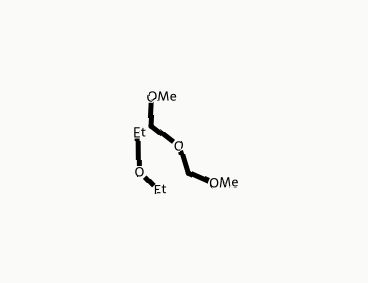 CCOCC.COCOCOC